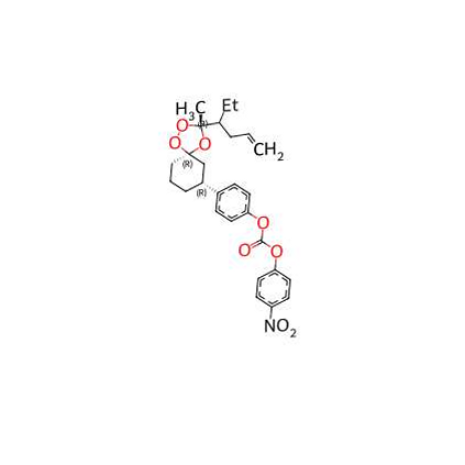 C=CCC(CC)[C@@]1(C)OO[C@@]2(CCC[C@@H](c3ccc(OC(=O)Oc4ccc([N+](=O)[O-])cc4)cc3)C2)O1